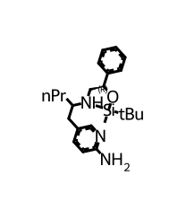 CCCC(Cc1ccc(N)nc1)NC[C@H](O[Si](C)(C)C(C)(C)C)c1ccccc1